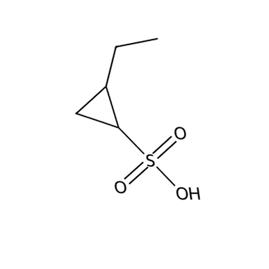 CCC1CC1S(=O)(=O)O